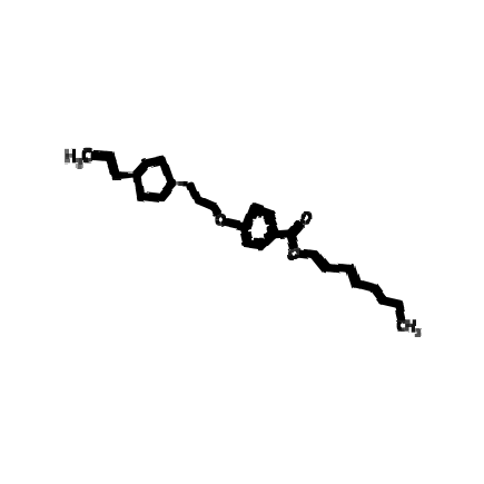 CCCCCCCCOC(=O)c1ccc(OCCC[C@H]2CC[C@H](CCC)CC2)cc1